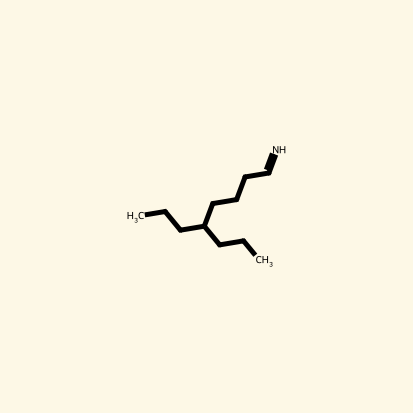 CCCC(CCC)CCCC=N